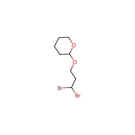 BrC(Br)CCOC1CCCCO1